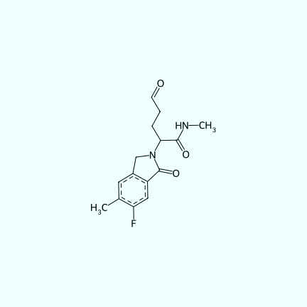 CNC(=O)C(CCC=O)N1Cc2cc(C)c(F)cc2C1=O